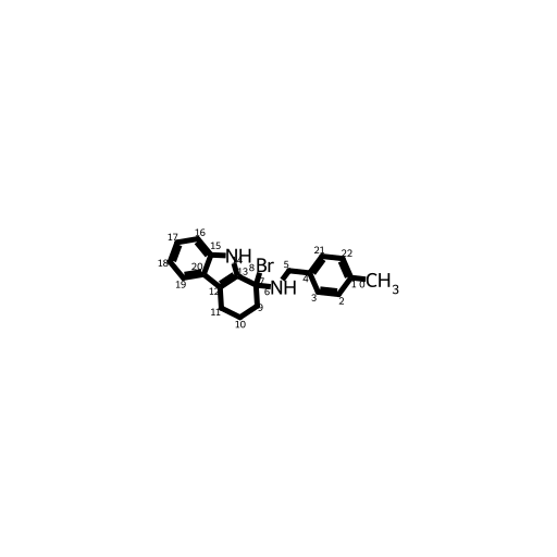 Cc1ccc(CNC2(Br)CCCc3c2[nH]c2ccccc32)cc1